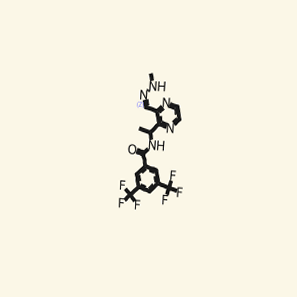 CN/N=C\c1nccnc1C(C)NC(=O)c1cc(C(F)(F)F)cc(C(F)(F)F)c1